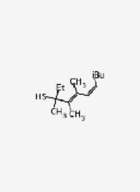 CCC(C)/C=C\C(C)=C(/C)C(C)(S)CC